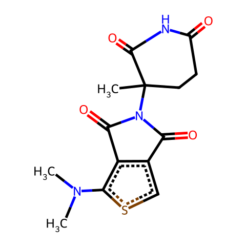 CN(C)c1scc2c1C(=O)N(C1(C)CCC(=O)NC1=O)C2=O